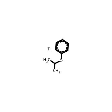 CC(C)Oc1cc[c]cc1.[Ti]